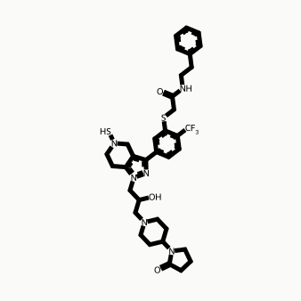 O=C(CSc1cc(-c2nn(CC(O)CN3CCC(N4CCCC4=O)CC3)c3c2CN(S)CC3)ccc1C(F)(F)F)NCCc1ccccc1